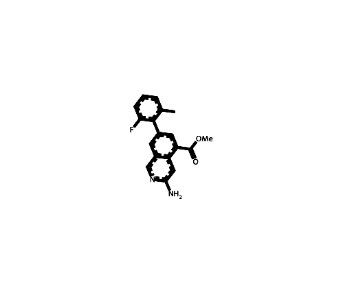 COC(=O)c1cc(-c2c(C)cccc2F)cc2cnc(N)cc12